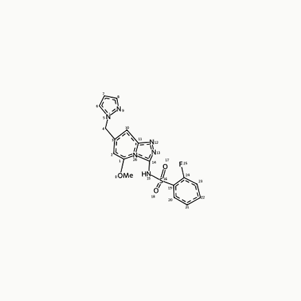 COc1cc(Cn2cccn2)cc2nnc(NS(=O)(=O)c3ccccc3F)n12